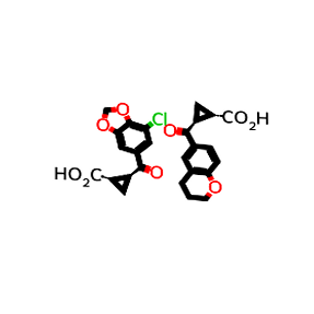 O=C(O)[C@H]1C[C@@H]1C(=O)c1cc(Cl)c2c(c1)OCO2.O=C(O)[C@H]1C[C@@H]1C(=O)c1ccc2c(c1)CCCO2